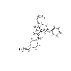 CC=C1C2CC3(C(=S)N[C@H]4CC[C@H](CN)CC4)CC1CC(c1ccccc1)(C2)C3